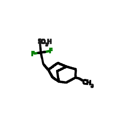 CC1CC2CC(C1)CC(CC(F)(F)S(=O)(=O)O)C2